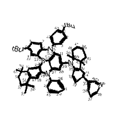 CC(C)(C)c1ccc(N2c3ccc(C(C)(C)C)cc3B3c4cc5c(cc4N(c4ccccc4)c4cc(N6c7ccc(-c8cccnc8)cc7C7(C)CCCCC67C)cc2c43)C(C)(C)CCC5(C)C)cc1